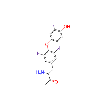 CC(=O)C(N)Cc1cc(I)c(Oc2ccc(O)c(I)c2)c(I)c1